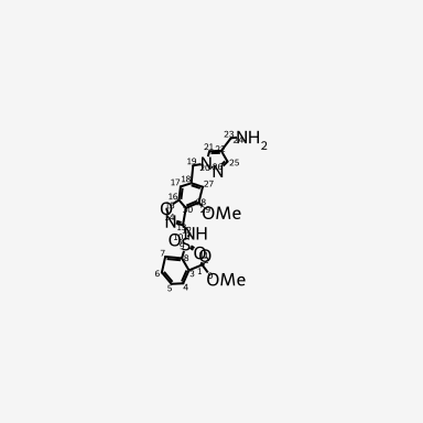 COC(=O)c1ccccc1S(=O)(=O)Nc1noc2cc(Cn3cc(CN)cn3)cc(OC)c12